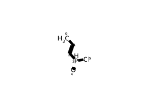 CC=C[PH](=O)Cl